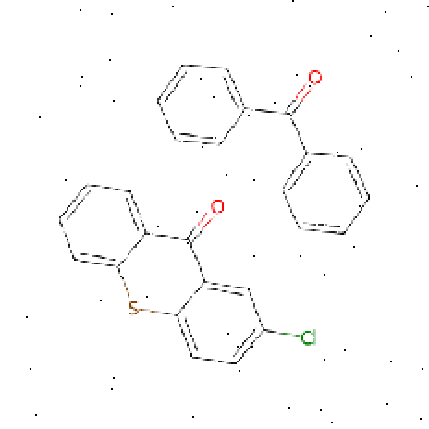 O=C(c1ccccc1)c1ccccc1.O=c1c2ccccc2sc2ccc(Cl)cc12